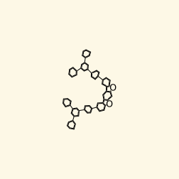 c1ccc(-c2cc(-c3ccccc3)cc(-c3ccc(-c4ccc5oc6cc7oc8ccc(-c9ccc(-c%10cc(-c%11ccccc%11)cc(-c%11ccccc%11)c%10)cc9)cc8c7cc6c5c4)cc3)c2)cc1